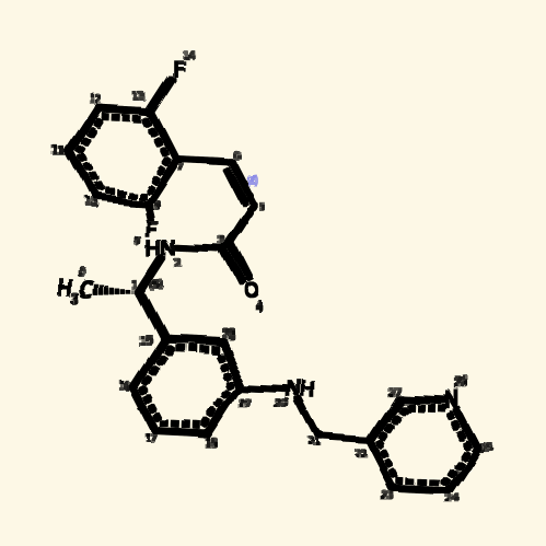 C[C@H](NC(=O)/C=C\c1c(F)cccc1F)c1cccc(NCc2cccnc2)c1